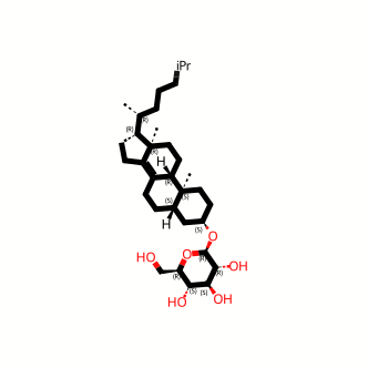 CC(C)CCC[C@@H](C)[C@H]1CCC2=C3CC[C@H]4C[C@@H](O[C@@H]5O[C@H](CO)[C@@H](O)[C@H](O)[C@H]5O)CC[C@]4(C)[C@H]3CC[C@@]21C